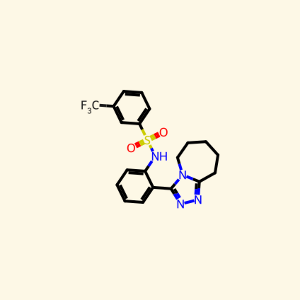 O=S(=O)(Nc1ccccc1-c1nnc2n1CCCCC2)c1cccc(C(F)(F)F)c1